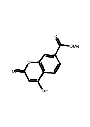 COC(=O)c1ccc2c(O)cc(=O)oc2c1